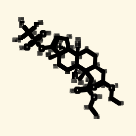 CCOC(=O)C[C@@H]1CC[C@@H]2[C@H](CC[C@]3(C)C(OS(=O)(=O)C(F)(F)F)=CC[C@@H]23)[C@@]1(C)CC(=O)OCC